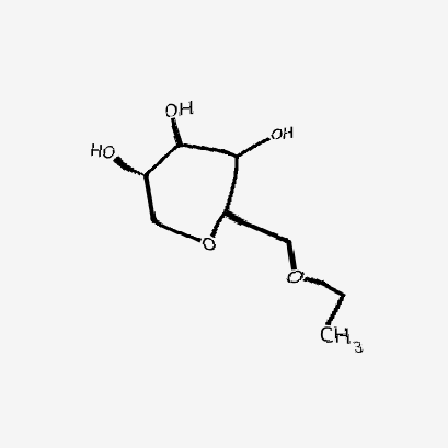 CCOCC1OC[C@@H](O)C(O)C1O